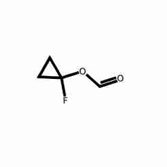 O=COC1(F)CC1